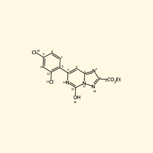 CCOC(=O)c1nc2cc(-c3ccc(Cl)cc3Cl)nc(O)n2n1